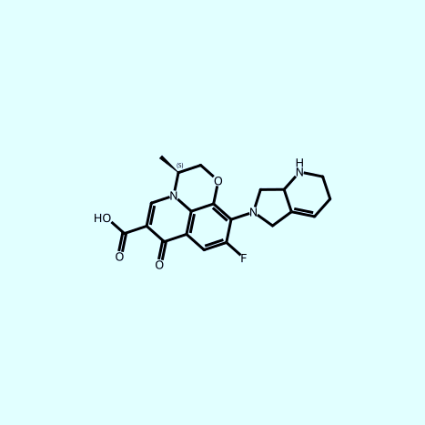 C[C@H]1COc2c(N3CC4=CCCNC4C3)c(F)cc3c(=O)c(C(=O)O)cn1c23